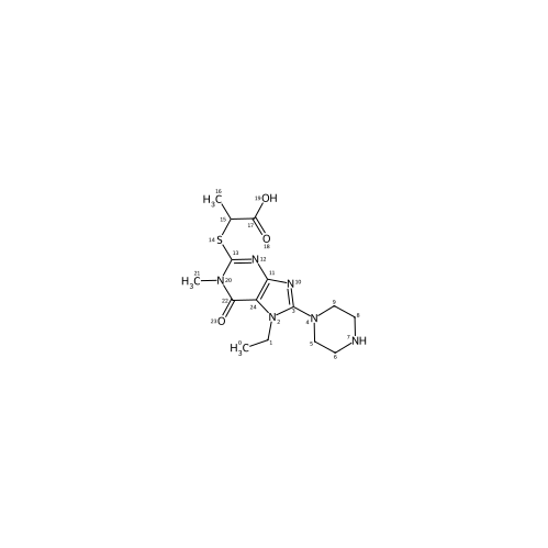 CCn1c(N2CCNCC2)nc2nc(SC(C)C(=O)O)n(C)c(=O)c21